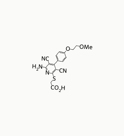 COCCOc1ccc(-c2c(C#N)c(N)nc(SCC(=O)O)c2C#N)cc1